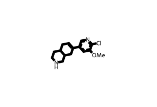 COc1cc(C2=CCC3CCNCC3C2)cnc1Cl